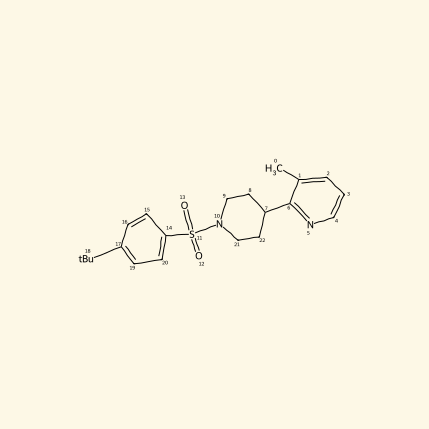 Cc1cccnc1C1CCN(S(=O)(=O)c2ccc(C(C)(C)C)cc2)CC1